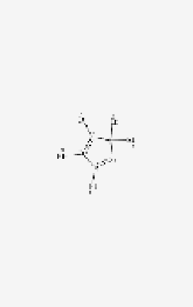 CCC1=[C]C(CC)(CC)C(CC)=C1CC